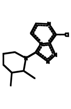 CC1CCCN(c2nnc3c(Cl)nccn23)C1C